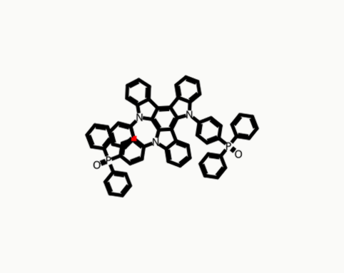 O=P(c1ccccc1)(c1ccccc1)c1ccc(-n2c3ccccc3c3c4c5ccccc5n(-c5ccccc5)c4c4c(c5ccccc5n4-c4ccc(P(=O)(c5ccccc5)c5ccccc5)cc4)c32)cc1